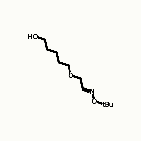 CC(C)(C)ON=CCOCCCCCO